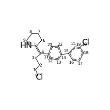 ClCCCC(=C1CCCCN1)c1ccc(-c2cccc(Cl)c2)cc1